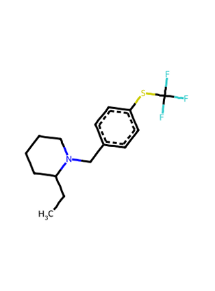 CCC1CCCCN1Cc1ccc(SC(F)(F)F)cc1